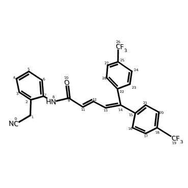 N#CCc1ccccc1NC(=O)C=CC=C(c1ccc(C(F)(F)F)cc1)c1ccc(C(F)(F)F)cc1